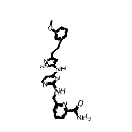 COc1cccc(CCc2cc(Nc3ccnc(NCc4cccc(C(N)=O)n4)n3)[nH]n2)c1